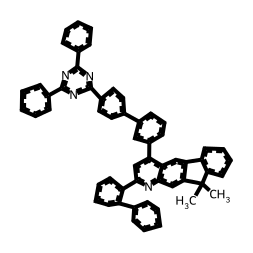 CC1(C)c2ccccc2-c2cc3c(-c4cccc(-c5ccc(-c6nc(-c7ccccc7)nc(-c7ccccc7)n6)cc5)c4)cc(-c4ccccc4-c4ccccc4)nc3cc21